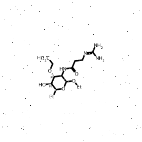 CCOC1OC(CC)[C@@H](O)[C@H](OCC(=O)O)C1NC(=O)CCN=C(N)N